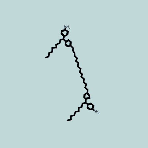 CCCCCCCCCC(c1ccc(N)cc1)c1ccc(CCCCCCCCCCCCCCCCCc2ccc(C(CCCCCCCCC)c3ccc(N)cc3)cc2)cc1